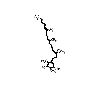 CCCC/C=C(\C)CC/C=C(\C)CCCC(C)CCC1=CC(O)C(C)C(C)C1C